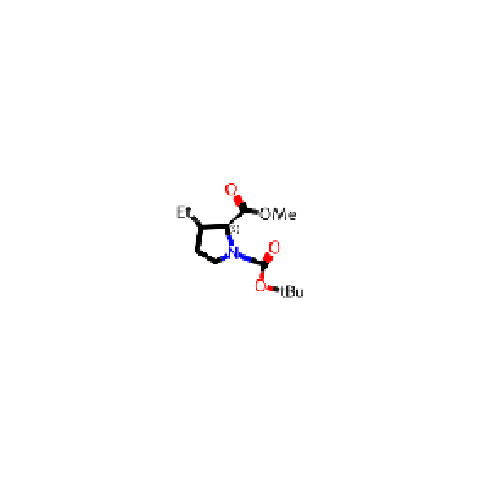 CCC1CCN(C(=O)OC(C)(C)C)[C@@H]1C(=O)OC